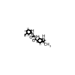 Cc1c[nH]c2cc(C(=O)NC(=O)Nc3cccc(I)c3)ccc12